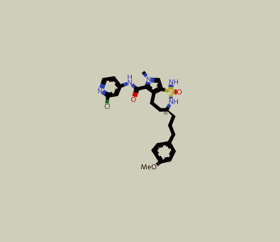 COc1ccc(CCC[C@H]2CCc3c(cn(C)c3C(=O)Nc3ccnc(Cl)c3)S(=N)(=O)N2)cc1